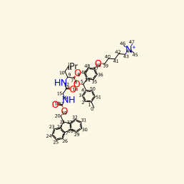 Cc1ccc(C(OC(=O)C(CC(C)C)NC(=O)CNC(=O)OCC2c3ccccc3-c3ccccc32)c2ccc(OCCCCC[N+](C)(C)C)cc2)cc1